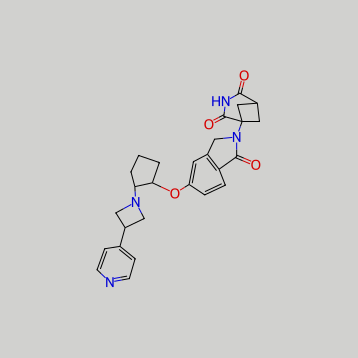 O=C1NC(=O)C2(N3Cc4cc(OC5CCCC5N5CC(c6ccncc6)C5)ccc4C3=O)CC1C2